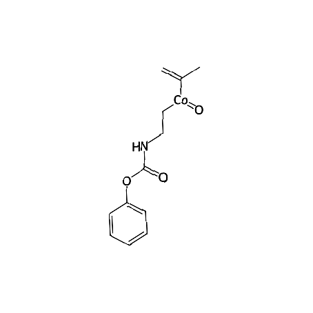 C=[C](C)[Co](=[O])[CH2]CNC(=O)Oc1ccccc1